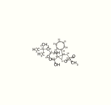 CC(C)(C)OC(=O)NC1(C(=O)O)CC1(CS(C)(=O)=O)c1ccccc1